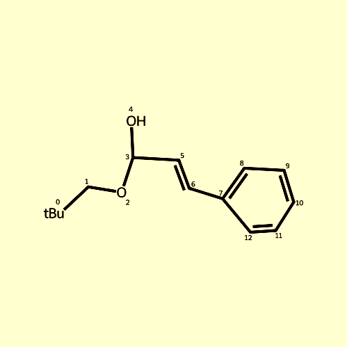 CC(C)(C)COC(O)C=Cc1ccccc1